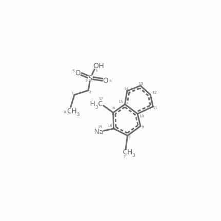 CCCS(=O)(=O)O.Cc1cc2ccccc2c(C)[c]1[Na]